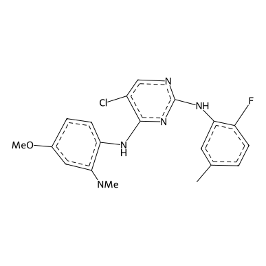 CNc1cc(OC)ccc1Nc1nc(Nc2cc(C)ccc2F)ncc1Cl